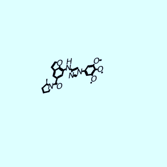 COc1cc(-n2cnc(Nc3cc(C(=O)N4CCC[C@H]4C)cc4ccoc34)c2)cc(OC)c1OC